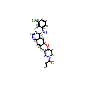 C=CC(=O)N1CCC(Oc2cc3c(Nc4cccc(Cl)c4F)ncnc3cc2OC)CC1